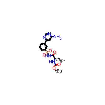 CC(C)C[C@H](NC(=O)OC(C)(C)C)C(=O)NS(=O)(=O)c1cccc(-c2cc(N)ncn2)c1